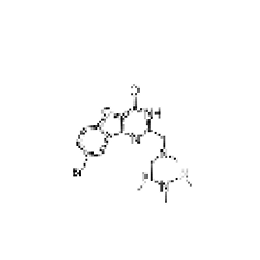 C[C@@H]1CN(Cc2nc3c(oc4ccc(Br)cc43)c(=O)[nH]2)C[C@H](C)N1C